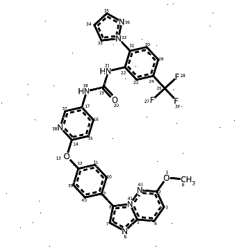 COc1ccc2ncc(-c3ccc(Oc4ccc(NC(=O)Nc5cc(C(F)(F)F)ccc5-n5cccn5)cn4)cc3)n2n1